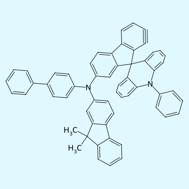 CC1(C)c2ccccc2-c2ccc(N(c3ccc(-c4ccccc4)cc3)c3ccc4c(c3)C3(c5c#cccc5-4)c4ccccc4N(c4ccccc4)c4ccccc43)cc21